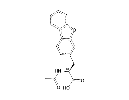 CC(=O)N[C@@H](Cc1ccc2c(c1)oc1ccccc12)C(=O)O